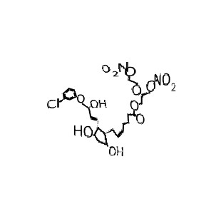 O=C(CCC/C=C\C[C@@H]1[C@@H](/C=C/[C@@H](O)COc2cccc(Cl)c2)[C@H](O)C[C@@H]1O)OCC(CO[N+](=O)[O-])OCCO[N+](=O)[O-]